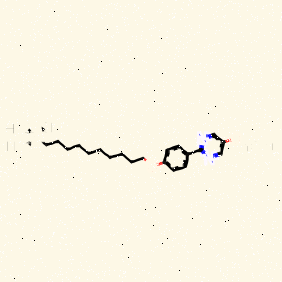 CCCCCCCCOc1cnc(-c2ccc(OCCCCCCCCCC[Si](C)(C)C)cc2)nc1